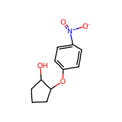 O=[N+]([O-])c1ccc(OC2CCCC2O)cc1